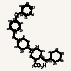 O=C(O)C1CN(C2CCN(Cc3ccc(Oc4ccccc4)cc3)CC2)CCN1CC1CCCCC1